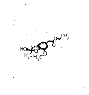 C#CC(C)(C)Oc1ccc(CC(=O)OCC)cc1OC